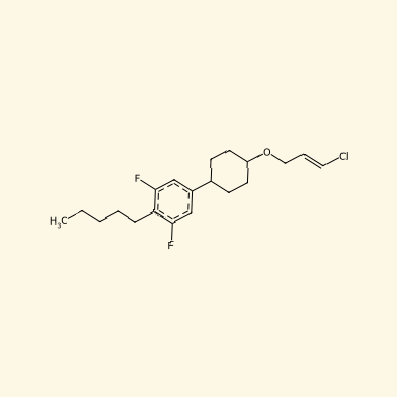 CCCCCc1c(F)cc(C2CCC(OC/C=C/Cl)CC2)cc1F